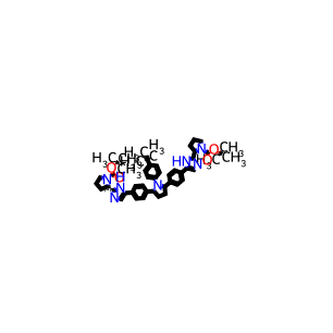 CC(C)(C)OC(=O)N1CCCC1c1ncc(-c2ccc(C3CCC(c4ccc(-c5cnc([C@@H]6CCCN6C(=O)OC(C)(C)C)[nH]5)cc4)N3c3ccc(C(C)(C)C)cc3)cc2)[nH]1